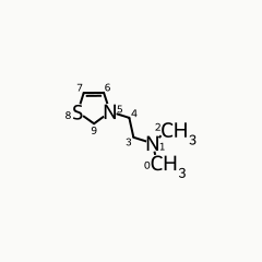 CN(C)CCN1C=CSC1